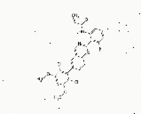 C=CC(=O)Nc1cccc(F)c1-c1ncc2cc(-c3c(Cl)c(OC)cc(OC)c3Cl)ccc2n1